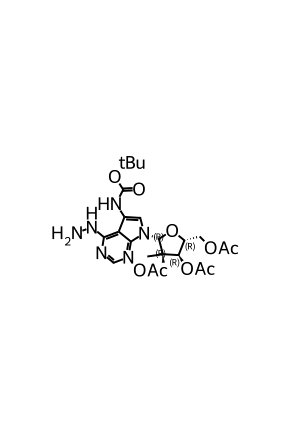 CC(=O)OC[C@H]1O[C@@H](n2cc(NC(=O)OC(C)(C)C)c3c(NN)ncnc32)[C@](C)(OC(C)=O)[C@@H]1OC(C)=O